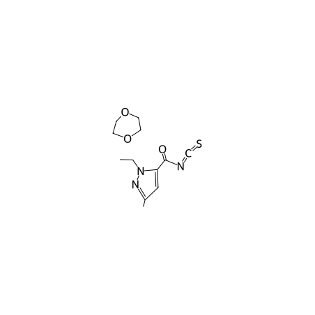 C1COCCO1.CCn1nc(C)cc1C(=O)N=C=S